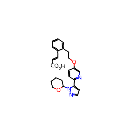 O=C(O)/C=C/c1ccccc1CCOc1ccc(-c2ccnn2C2CCCCO2)nc1